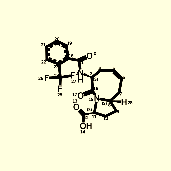 O=C(N[C@H]1CC=CC[C@@H]2CC[C@@H](C(=O)O)N2C1=O)c1ccccc1C(F)(F)F